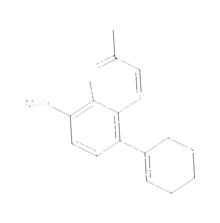 C=C(C)/C=P\c1c(C2=CCCCC2)ccc(OC)c1C